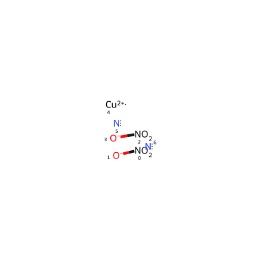 O=[N+]([O-])[O-].O=[N+]([O-])[O-].[Cu+2].[N].[N]